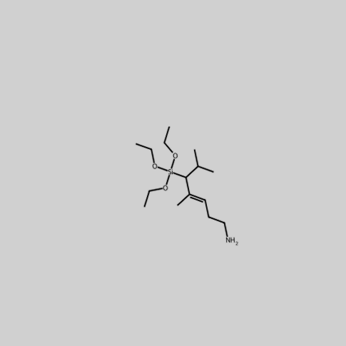 CCO[Si](OCC)(OCC)C(C(C)=CCCN)C(C)C